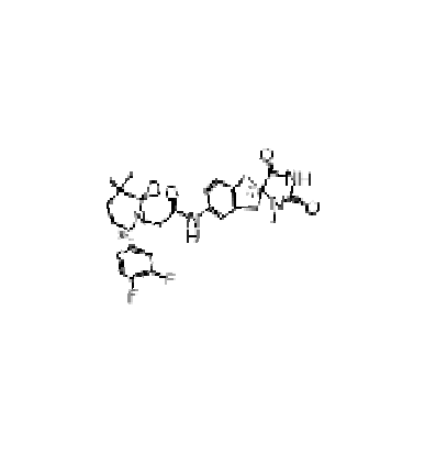 CN1C(=O)NC(=O)[C@@]12Cc1ccc(NC(=O)CN3C(=O)C(C)(C)CC[C@H]3c3ccc(F)c(F)c3)cc1C2